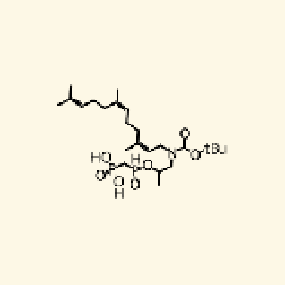 CC(C)=CCCC(C)=CCCC(C)=CCN(CC(C)O[PH](=O)CP(=O)(O)O)C(=O)OC(C)(C)C